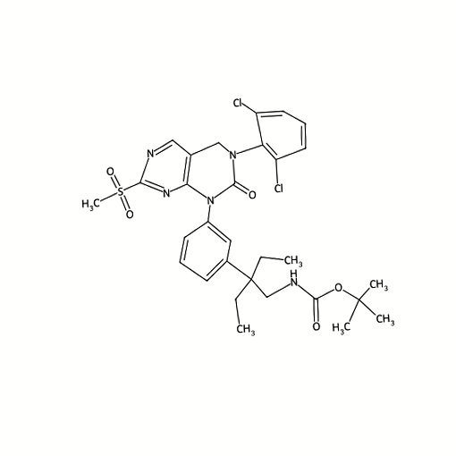 CCC(CC)(CNC(=O)OC(C)(C)C)c1cccc(N2C(=O)N(c3c(Cl)cccc3Cl)Cc3cnc(S(C)(=O)=O)nc32)c1